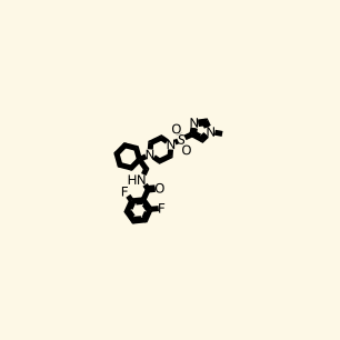 Cn1cnc(S(=O)(=O)N2CCN(C3(CNC(=O)c4c(F)cccc4F)CCCCC3)CC2)c1